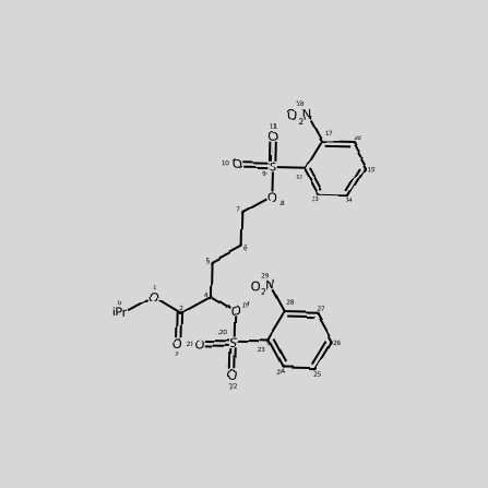 CC(C)OC(=O)C(CCCOS(=O)(=O)c1ccccc1[N+](=O)[O-])OS(=O)(=O)c1ccccc1[N+](=O)[O-]